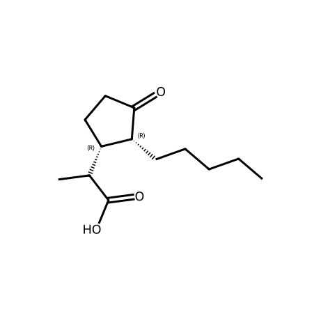 CCCCC[C@H]1C(=O)CC[C@H]1C(C)C(=O)O